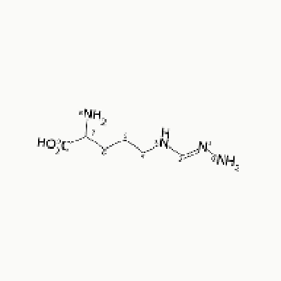 NN=CNCCCC(N)C(=O)O